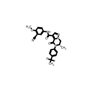 COc1ccc(NC(=O)c2cnn3c2C(=O)N(c2ccc(C(C)(F)F)cc2)[C@@H](C)C3)cc1C#N